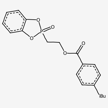 CCC(C)c1ccc(C(=O)OCCP2(=O)Oc3ccccc3O2)cc1